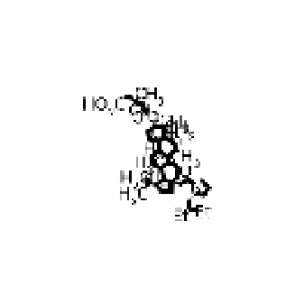 C=C(C)[C@@H]1CC[C@]2(CC(=O)N3CCC[C@@H]3CC(CC)CC)CC[C@]3(C)[C@H](CC[C@@H]4[C@@]5(C)CC[C@H](OC(=O)CC(C)(C)CC(=O)O)C(C)(C)[C@@H]5CC[C@]43C)[C@@H]12